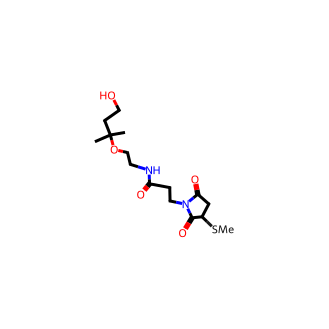 CSC1CC(=O)N(CCC(=O)NCCOC(C)(C)CCO)C1=O